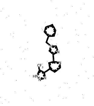 FC(F)(F)c1[nH]nnc1-c1ccnc(-c2cn(Cc3ccccc3)cn2)c1